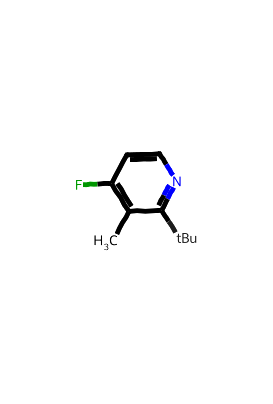 Cc1c(F)ccnc1C(C)(C)C